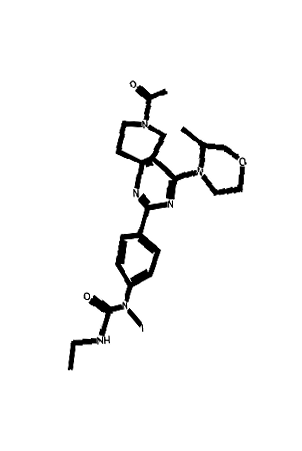 CCNC(=O)N(I)c1ccc(-c2nc3c(c(N4CCOCC4C)n2)CN(C(C)=O)CC3)cc1